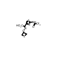 O=C(O)C(=NOC1CSC1)c1csc(NC(=O)C(F)(F)F)n1